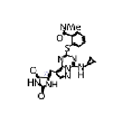 CNC(=O)c1ccccc1Sc1nc(NC2CC2)n2ncc(/C=C3\NC(=O)NC3=O)c2n1